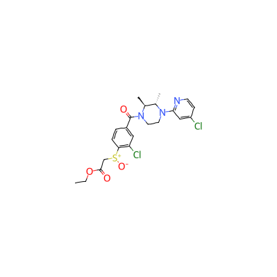 CCOC(=O)C[S+]([O-])c1ccc(C(=O)N2CCN(c3cc(Cl)ccn3)[C@@H](C)[C@@H]2C)cc1Cl